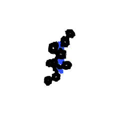 c1ccc(-c2ccc(-n3c4ccccc4c4c5c6ccccc6n(-c6ccccc6-c6cc(-c7ccccc7)cc(-c7cccc(-c8ccccc8)c7)n6)c5ccc43)cc2)cc1